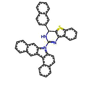 c1ccc2cc(C3NC(n4c5cc6ccccc6cc5c5c6ccccc6ccc54)=Nc4c3sc3ccccc43)ccc2c1